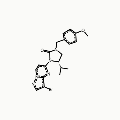 COc1ccc(CN2C[C@H](C(C)C)N(c3ccn4ncc(Br)c4n3)C2=O)cc1